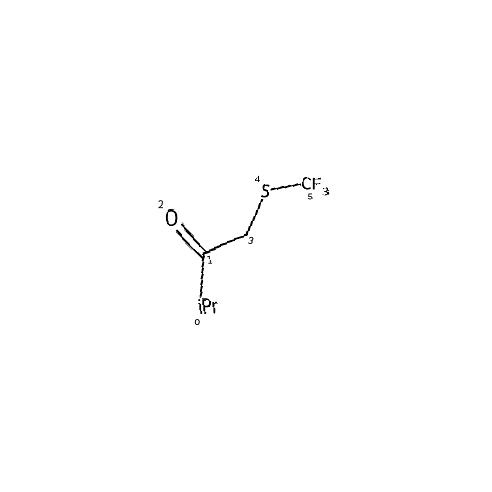 CC(C)C(=O)CSC(F)(F)F